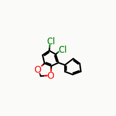 Clc1cc2c(c(-c3ccccc3)c1Cl)OCO2